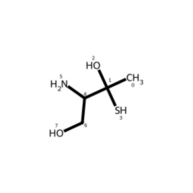 CC(O)(S)C(N)CO